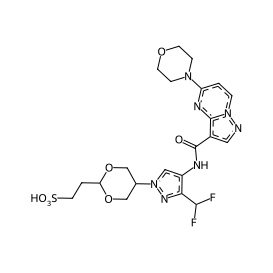 O=C(Nc1cn(C2COC(CCS(=O)(=O)O)OC2)nc1C(F)F)c1cnn2ccc(N3CCOCC3)nc12